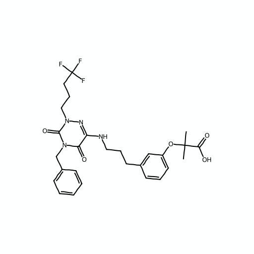 CC(C)(Oc1cccc(CCCNc2nn(CCCC(F)(F)F)c(=O)n(Cc3ccccc3)c2=O)c1)C(=O)O